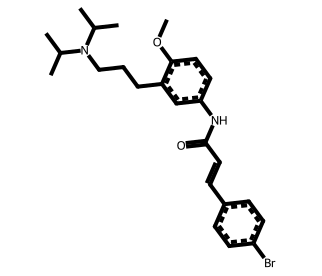 COc1ccc(NC(=O)C=Cc2ccc(Br)cc2)cc1CCCN(C(C)C)C(C)C